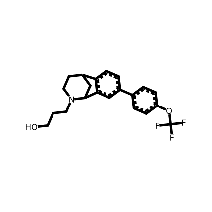 OCCCN1CCC2CC1c1cc(-c3ccc(OC(F)(F)F)cc3)ccc12